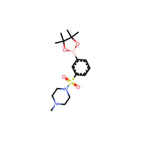 CN1CCN(S(=O)(=O)c2cccc(B3OC(C)(C)C(C)(C)O3)c2)CC1